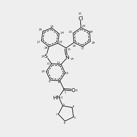 O=C(NC1CCCC1)c1ccc2c(c1)N=C(c1cccc(Cl)c1)c1ccccc1S2